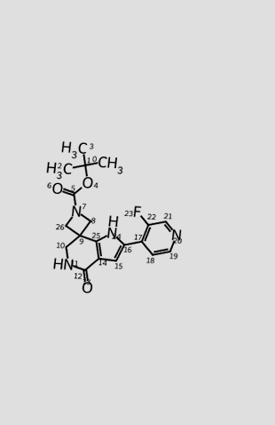 CC(C)(C)OC(=O)N1CC2(CNC(=O)c3cc(-c4ccncc4F)[nH]c32)C1